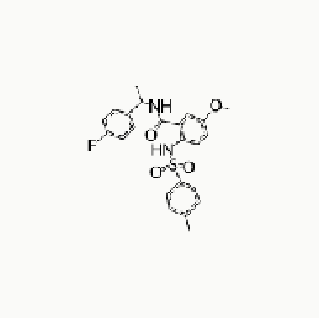 COc1ccc(NS(=O)(=O)c2ccc(C)cc2)c(C(=O)NC(C)c2ccc(F)cc2)c1